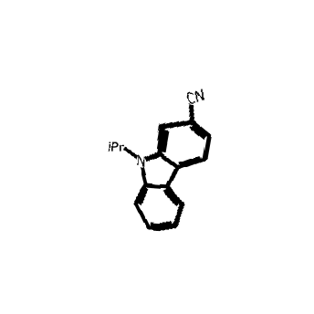 CC(C)n1c2ccccc2c2ccc(C#N)cc21